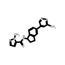 Cc1cc(-c2ccc3c(c2)CCC3NC(=O)c2ccnn2C)cnn1